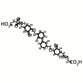 Cc1c(COc2ccc(CNSCC(=O)O)cc2Br)cccc1-c1cccc(COc2ccc(CNS(=O)(=O)CC(=O)O)cc2Br)c1C